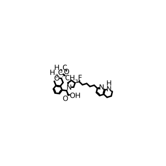 COC(C)(C)[C@@H]1Cc2c(cccc2[C@H](C(=O)O)N2CC[C@@H](C(F)CCCCc3ccc4c(n3)NCCC4)C2)CO1